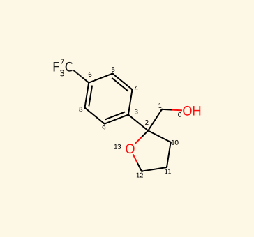 OCC1(c2ccc(C(F)(F)F)cc2)CCCO1